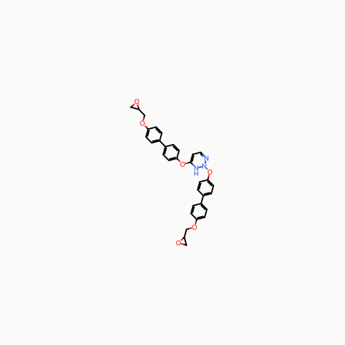 C1=NN(Oc2ccc(-c3ccc(OCC4CO4)cc3)cc2)NC(Oc2ccc(-c3ccc(OCC4CO4)cc3)cc2)=C1